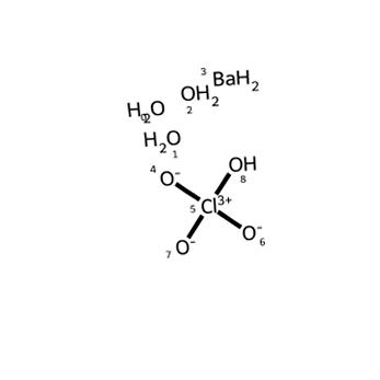 O.O.O.[BaH2].[O-][Cl+3]([O-])([O-])O